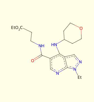 CCOC(=O)CCNC(=O)c1cnc2c(cnn2CC)c1NC1CCOCC1